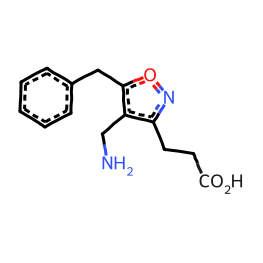 NCc1c(CCC(=O)O)noc1Cc1ccccc1